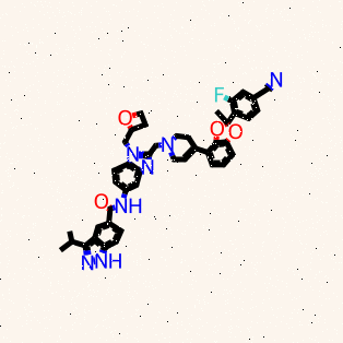 CC(C)c1n[nH]c2ccc(C(=O)Nc3ccc4c(c3)nc(CN3CC=C(c5cccc6c5OC(C)(c5ccc(C#N)cc5F)O6)CC3)n4CC3CCO3)cc12